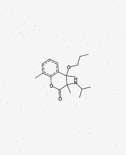 CCCOC1(C)c2cccc(C)c2OC(=O)C1(C)NC(C)C